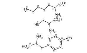 NC(CS)C(=O)O.NC(Cc1ccc(O)cc1)C(=O)O.NCCCCC(N)C(=O)O